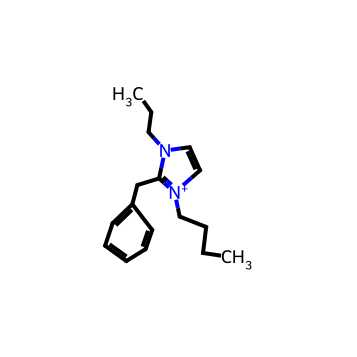 CCCC[n+]1ccn(CCC)c1Cc1ccccc1